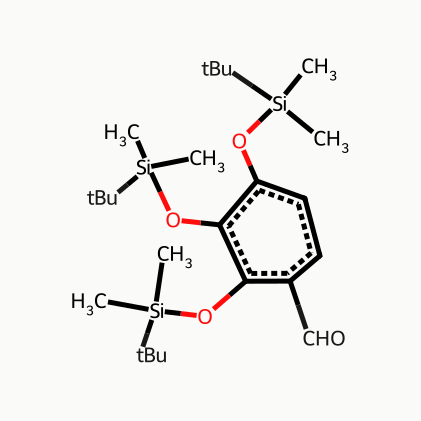 CC(C)(C)[Si](C)(C)Oc1ccc(C=O)c(O[Si](C)(C)C(C)(C)C)c1O[Si](C)(C)C(C)(C)C